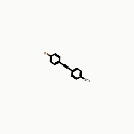 [SiH3]c1ccc(C#Cc2ccc(Br)cc2)cc1